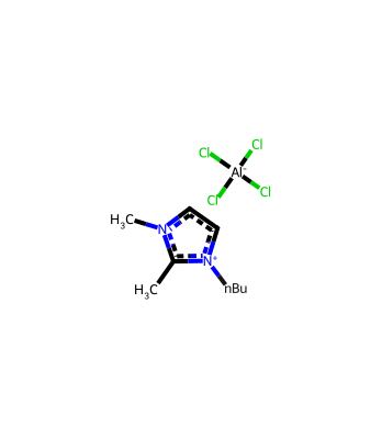 CCCC[n+]1ccn(C)c1C.[Cl][Al-]([Cl])([Cl])[Cl]